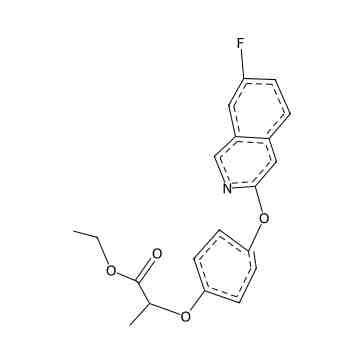 CCOC(=O)C(C)Oc1ccc(Oc2cc3ccc(F)cc3cn2)cc1